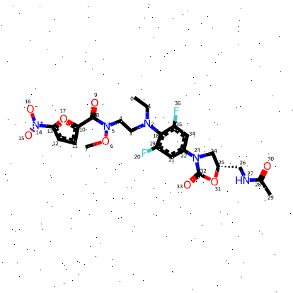 CCN(CCN(OC)C(=O)c1ccc([N+](=O)[O-])o1)c1c(F)cc(N2C[C@H](CNC(C)=O)OC2=O)cc1F